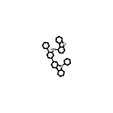 c1ccc(-c2ccc(-c3ccc4c5ccccc5n(-c5ccccc5)c4c3)cc2Nc2cccc3oc4ccccc4c23)cc1